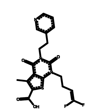 Cc1c(C(=O)O)sc2c1c(=O)n(CCc1cccnc1)c(=O)n2CCC=C(F)F